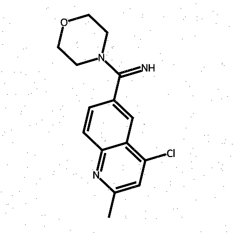 Cc1cc(Cl)c2cc(C(=N)N3CCOCC3)ccc2n1